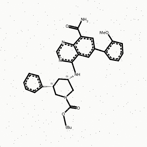 COc1ccccc1-c1cc(C(N)=O)c2ncnc(N[C@H]3C[C@@H](c4ccccc4)CN(C(=O)OC(C)(C)C)C3)c2c1